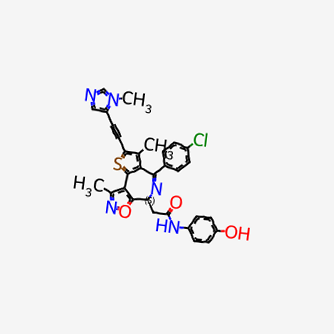 Cc1noc2c1-c1sc(C#Cc3cncn3C)c(C)c1C(c1ccc(Cl)cc1)=N[C@H]2CC(=O)Nc1ccc(O)cc1